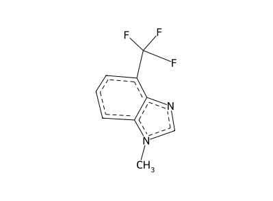 Cn1cnc2c(C(F)(F)F)cccc21